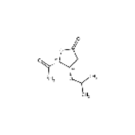 CC(C)O[C@H]1CC(=O)O[C@H]1C(N)=O